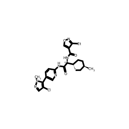 CCc1nocc1C(=O)N[C@H](C(=O)Nc1ccc(-c2c(Cl)cnn2C)cn1)[C@H]1CC[C@H](C)CC1